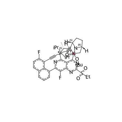 CCS(=O)(=O)c1nc2c3c(nc(-c4cccc5ccc(F)c(C#C[Si](C(C)C)(C(C)C)C(C)C)c45)c(F)c3n1)C[C@H](C)[C@H]1[C@@H]3CC[C@H](CN21)N3C(=O)OC(C)(C)C